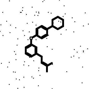 CC(C)=CCc1cccc(Oc2c[c]c(C3CCCCC3)cc2)c1